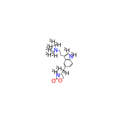 [2H]c1c(CCN(C([2H])([2H])[2H])C([2H])([2H])[2H])c2cc(C([2H])([2H])[C@H]3COC(=O)N3[2H])ccc2n1[2H]